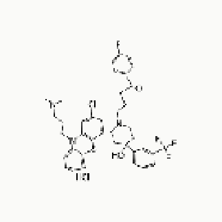 CN(C)CCCN1c2ccccc2Sc2ccc(Cl)cc21.Cl.O=C(CCCN1CCC(O)(c2cccc(C(F)(F)F)c2)CC1)c1ccc(F)cc1